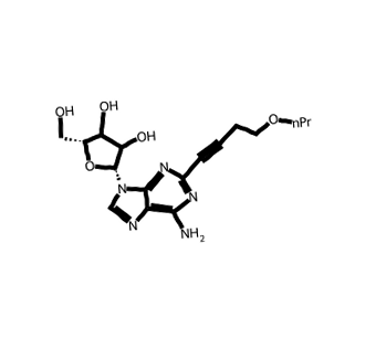 CCCOCCC#Cc1nc(N)c2ncn([C@@H]3O[C@H](CO)C(O)C3O)c2n1